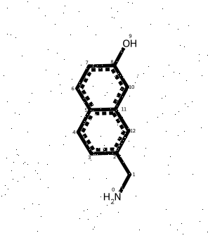 NCc1ccc2ccc(O)cc2c1